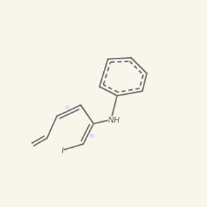 C=C/C=C\C(=C/I)Nc1ccccc1